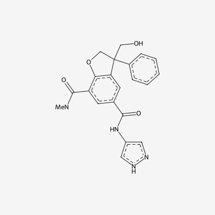 CNC(=O)c1cc(C(=O)Nc2cn[nH]c2)cc2c1OCC2(CO)c1ccccc1